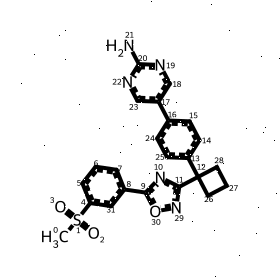 CS(=O)(=O)c1cccc(-c2nc(C3(c4ccc(-c5cnc(N)nc5)cc4)CCC3)no2)c1